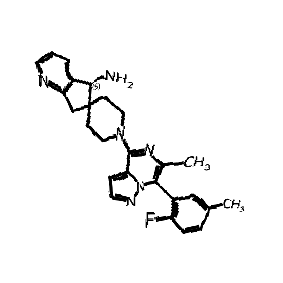 Cc1ccc(F)c(-c2c(C)nc(N3CCC4(CC3)Cc3ncccc3[C@H]4N)c3ccnn23)c1